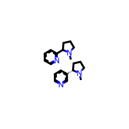 CN1CCCC1c1ccccn1.CN1CCC[C@H]1c1cccnc1